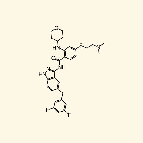 CN(C)CCSc1ccc(C(=O)Nc2n[nH]c3ccc(Cc4cc(F)cc(F)c4)cc23)c(NC2CCOCC2)c1